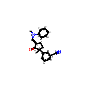 CN(C=C1CCC(C)(c2cccc(C#N)c2)C1=O)c1ccccc1